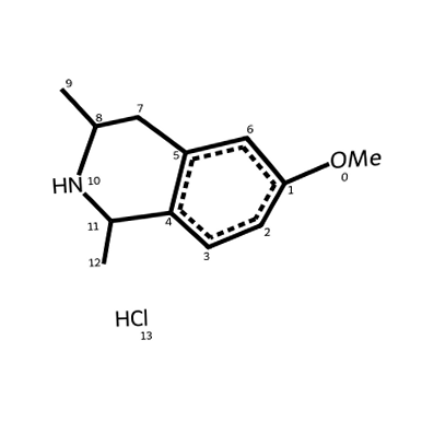 COc1ccc2c(c1)CC(C)NC2C.Cl